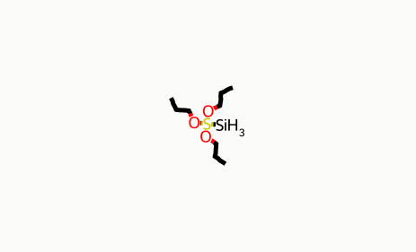 CCCOS([SiH3])(OCCC)OCCC